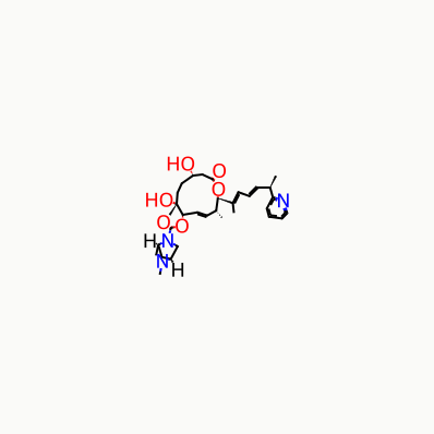 C/C(=C\C=C\[C@@H](C)c1ccccn1)[C@@H]1OC(=O)C[C@@H](O)CC[C@@](C)(O)[C@@H](OC(=O)N2C[C@H]3C[C@H]2CN3C)/C=C/[C@H]1C